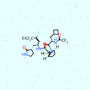 CCOC(=O)/C(F)=C\[C@H](C[C@@H]1CCNC1=O)NC(=O)[C@@H]1[C@@H]2CC[C@@H](CC2(F)F)N1C(=O)[C@@H](CC1CCC1)NC(=O)C(F)(F)F